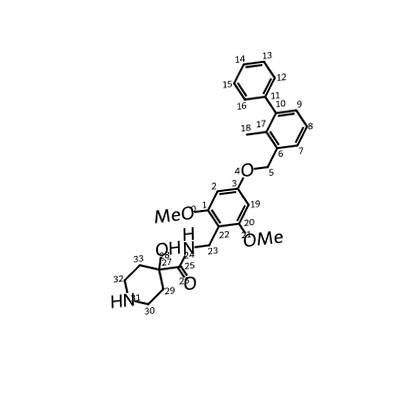 COc1cc(OCc2cccc(-c3ccccc3)c2C)cc(OC)c1CNC(=O)C1(O)CCNCC1